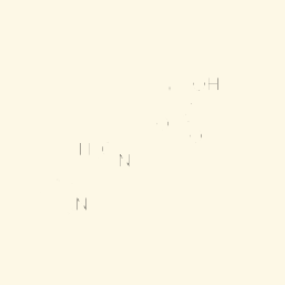 C[N+]1(CCc2ccccn2)CCCC(OC(=O)C(O)(c2ccccc2)c2ccccc2)C1